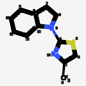 FC(F)(F)c1csc(-n2ccc3ccccc32)n1